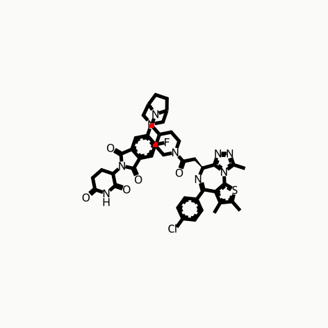 Cc1sc2c(c1C)C(c1ccc(Cl)cc1)=N[C@@H](CC(=O)N1CCC(CN3C4CCC3CN(c3cc5c(cc3F)C(=O)N(C3CCC(=O)NC3=O)C5=O)C4)CC1)c1nnc(C)n1-2